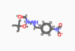 CC(C)(C)ON(C=O)NCc1ccc([N+](=O)[O-])cc1